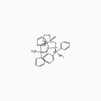 B[PH](C[C@H]1[C@@H]2CCO[C@@H]2C[C@H]1[PH](B)(c1ccccc1)c1ccccc1)(c1ccccc1)c1ccccc1